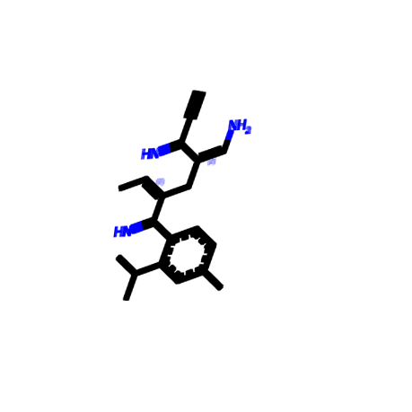 C#CC(=N)/C(=C\N)C/C(=C/C)C(=N)c1ccc(C)cc1C(C)C